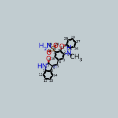 CNc1cc(/C=C2\C(=O)Nc3ccccc32)cc(S(N)(=O)=O)c1Oc1ccccc1